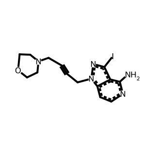 Nc1nccc2c1c(I)nn2CC#CCN1CCOCC1